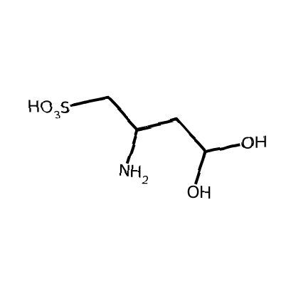 NC(CC(O)O)CS(=O)(=O)O